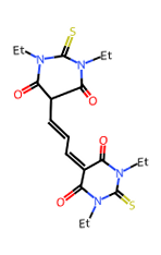 CCN1C(=O)C(=C/C=C/C2C(=O)N(CC)C(=S)N(CC)C2=O)C(=O)N(CC)C1=S